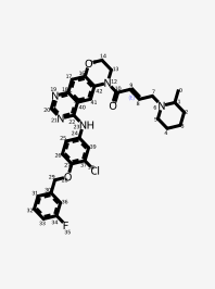 CC1CCCCN1C/C=C/C(=O)N1CCOc2cc3ncnc(Nc4ccc(OCc5cccc(F)c5)c(Cl)c4)c3cc21